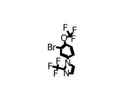 FC(F)(F)Oc1ccc(-n2ccnc2C(F)(F)F)cc1Br